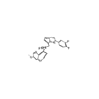 COc1cnc2c(NCc3cnc4ccc(-c5ccc(F)c(F)c5)nn34)ccnc2c1